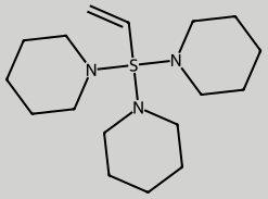 C=CS(N1CCCCC1)(N1CCCCC1)N1CCCCC1